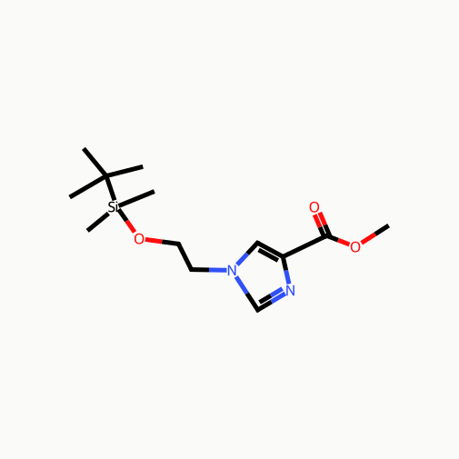 COC(=O)c1cn(CCO[Si](C)(C)C(C)(C)C)cn1